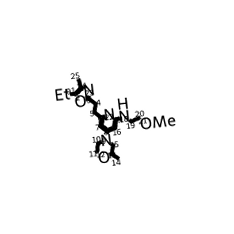 CCc1oc(CCc2cc(N3CCOC(C)C3)cc(NCCOC)n2)nc1C